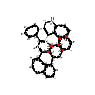 C1=Cc2c(cccc2-c2ccc(-c3cccc4cccc(C5=NC(c6ccccc6)=NC(c6ccccc6)N5)c34)cc2)NC1